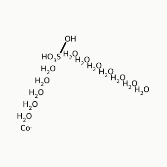 O.O.O.O.O.O.O.O.O.O.O.O.O=S(=O)(O)O.[Co]